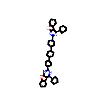 c1ccc(-c2nc(-c3ccc(-c4ccc(-c5ccc(-c6nc(-c7ccccc7)c7c(n6)oc6ccccc67)cc5)cc4)cc3)nc3oc4ccccc4c23)cc1